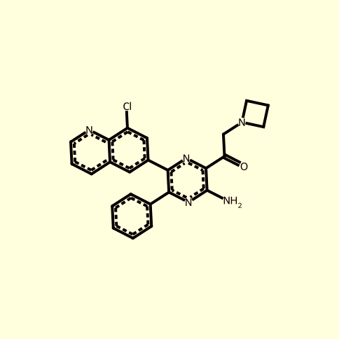 Nc1nc(-c2ccccc2)c(-c2cc(Cl)c3ncccc3c2)nc1C(=O)CN1CCC1